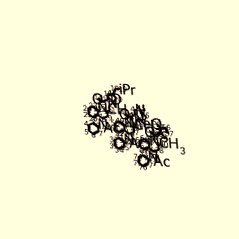 CC(=O)N(c1ccccc1)[C@H]1C[C@@H](C)N(C(=O)c2cc(CC(C)C)on2)c2ccccc21.CC(=O)N(c1ccccc1)[C@H]1C[C@@H](C)N(C(=O)c2cnsn2)c2ccccc21.COc1ccsc1C(=O)N1c2ccccc2[C@@H](N(C(C)=O)c2ccccc2)C[C@H]1C